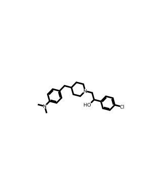 CN(C)c1ccc(CC2CCN(CC(O)c3ccc(Cl)cc3)CC2)cc1